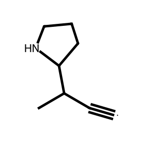 [C]#CC(C)C1CCCN1